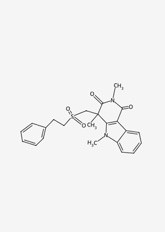 CN1C(=O)c2c(n(C)c3ccccc23)C(C)(CS(=O)(=O)CCc2ccccc2)C1=O